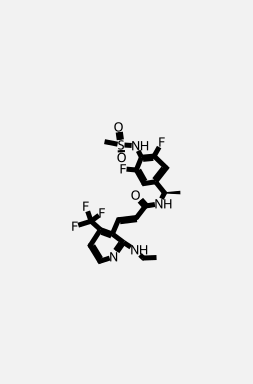 CCNc1nccc(C(F)(F)F)c1C=CC(=O)N[C@H](C)c1cc(F)c(NS(C)(=O)=O)c(F)c1